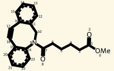 COC(=O)CCCCC(=O)N1Cc2ccccc2C#Cc2ccccc21